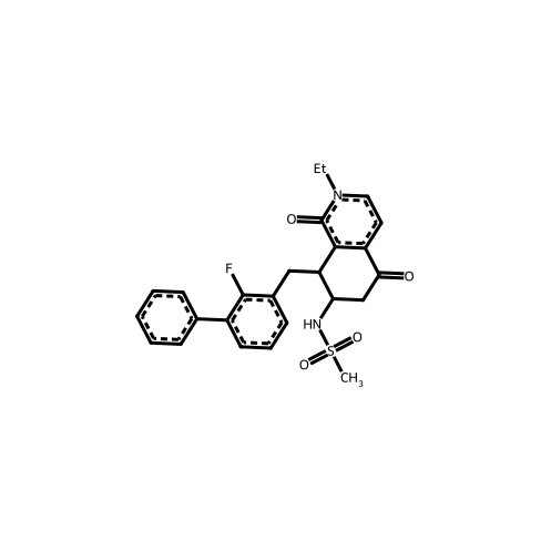 CCn1ccc2c(c1=O)C(Cc1cccc(-c3ccccc3)c1F)C(NS(C)(=O)=O)CC2=O